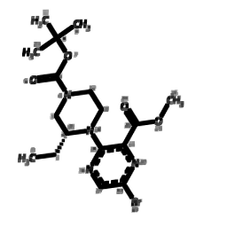 CC[C@@H]1CN(C(=O)OC(C)(C)C)CCN1c1ncc(Br)nc1C(=O)OC